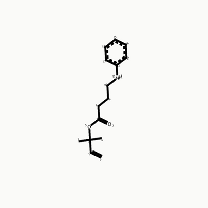 C=CC(C)(C)OC(=O)CCCNc1ccccc1